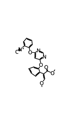 [C-]#[N+]c1ccccc1Oc1cc(Oc2ccccc2/C(=C\OC)C(=O)OC)ncn1